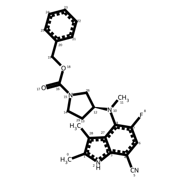 Cc1[nH]c2c(C#N)cc(F)c(N(C)[C@H]3CCN(C(=O)OCc4ccccc4)C3)c2c1C